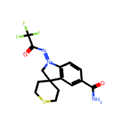 NC(=O)c1ccc2c(c1)C1(CCSCC1)C[N+]2=NC(=O)C(F)(F)F